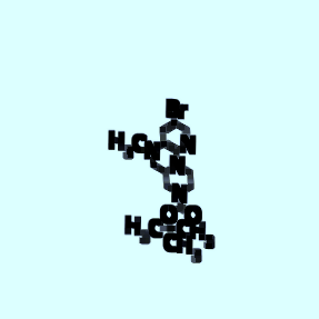 CN1CC2CN(C(=O)OC(C)(C)C)CCN2c2ncc(Br)cc21